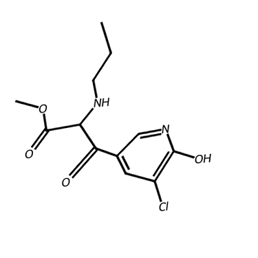 CCCNC(C(=O)OC)C(=O)c1cnc(O)c(Cl)c1